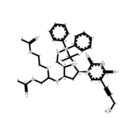 CC(=O)OCCSC(COC(C)=O)O[C@@H]1C[C@H](n2cc(C#CCN)c(=O)[nH]c2=O)O[C@@H]1CO[Si](c1ccccc1)(c1ccccc1)C(C)(C)C